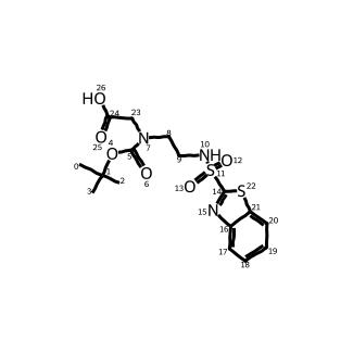 CC(C)(C)OC(=O)N(CCNS(=O)(=O)c1nc2ccccc2s1)CC(=O)O